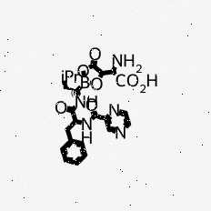 CC(C)C[C@H](NC(=O)C(Cc1ccccc1)NC(=O)c1cnccn1)B1OC(=O)C(C(N)C(=O)O)O1